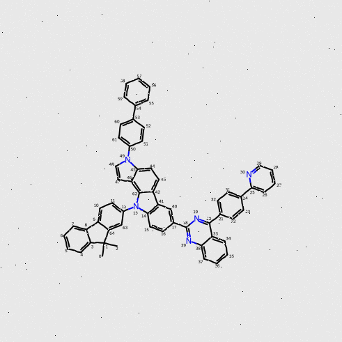 CC1(C)c2ccccc2-c2ccc(-n3c4ccc(-c5nc(-c6ccc(-c7ccccn7)cc6)c6ccccc6n5)cc4c4ccc5c(ccn5-c5ccc(-c6ccccc6)cc5)c43)cc21